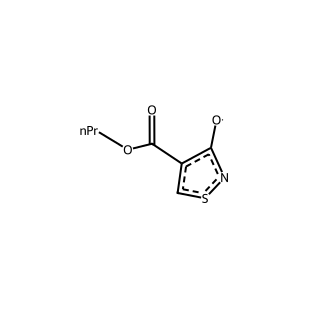 CCCOC(=O)c1csnc1[O]